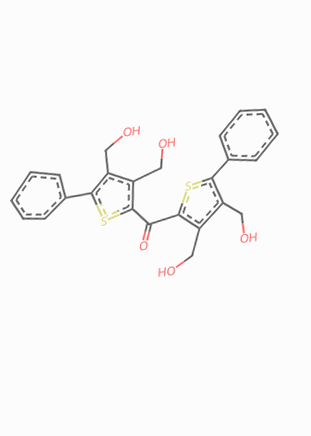 O=C(c1sc(-c2ccccc2)c(CO)c1CO)c1sc(-c2ccccc2)c(CO)c1CO